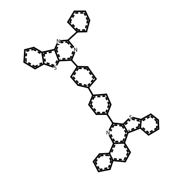 c1ccc(-c2nc(-c3ccc(-c4ccc(-c5nc6c7ccccc7ccc6c6c5sc5ccccc56)cc4)cc3)c3sc4ccccc4c3n2)cc1